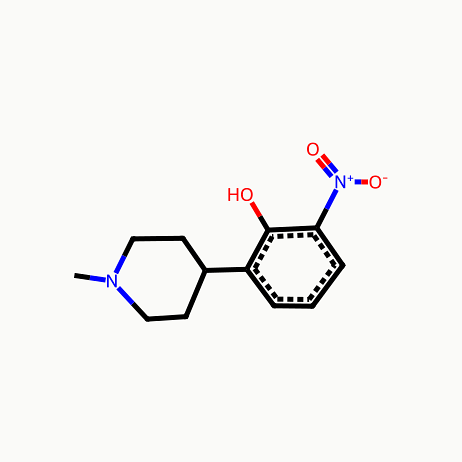 CN1CCC(c2cccc([N+](=O)[O-])c2O)CC1